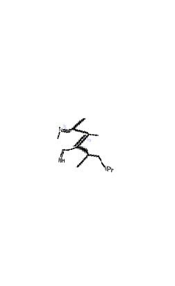 C/N=C(C)\C(C)=C(/C=N)C(C)CC(C)C